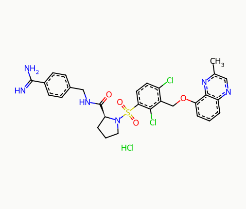 Cc1cnc2cccc(OCc3c(Cl)ccc(S(=O)(=O)N4CCC[C@H]4C(=O)NCc4ccc(C(=N)N)cc4)c3Cl)c2n1.Cl